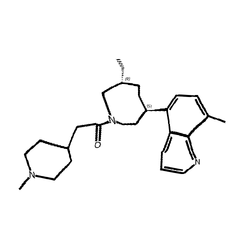 Cc1ccc([C@@H]2C[C@@H](C)CN(C(=O)CC3CCN(C)CC3)C2)c2cccnc12